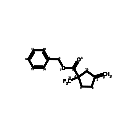 C=C1CCC(C(=O)OCc2ccccc2)(C(F)(F)F)C1